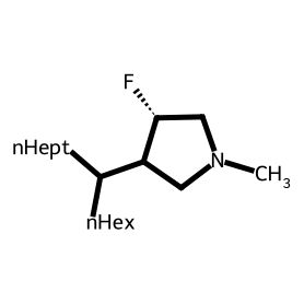 CCCCCCCC(CCCCCC)C1CN(C)C[C@H]1F